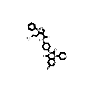 CCCc1c(C(=O)NC2CCC(n3c(=O)c4cc(F)cnc4n(C4CCSCC4)c3=O)CC2)cnn1-c1ccccc1